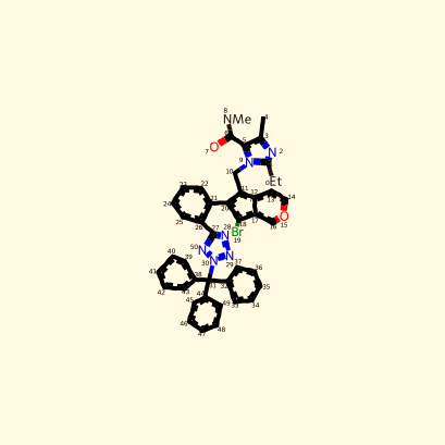 CCc1nc(C)c(C(=O)NC)n1Cc1c2ccocc-2c(Br)c1-c1ccccc1-c1nnn(C(c2ccccc2)(c2ccccc2)c2ccccc2)n1